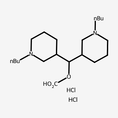 CCCCN1CCCC(C(OC(=O)O)C2CCCN(CCCC)C2)C1.Cl.Cl